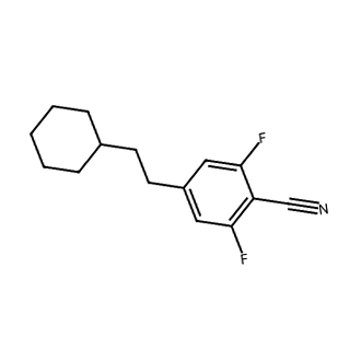 N#Cc1c(F)cc(CCC2CCCCC2)cc1F